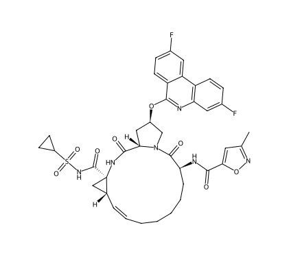 Cc1cc(C(=O)N[C@H]2CCCCC/C=C\[C@@H]3C[C@@]3(C(=O)NS(=O)(=O)C3CC3)NC(=O)[C@@H]3C[C@@H](Oc4nc5cc(F)ccc5c5cc(F)ccc45)CN3C2=O)on1